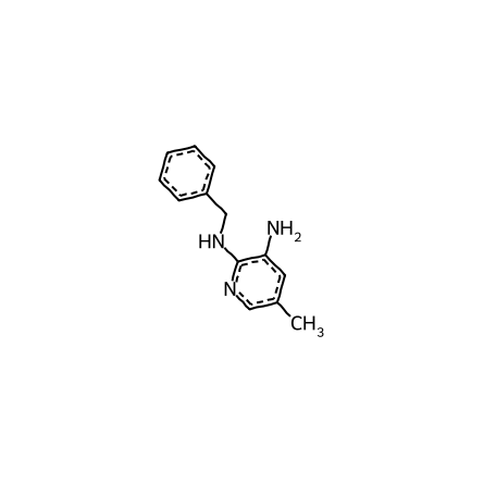 Cc1cnc(NCc2ccccc2)c(N)c1